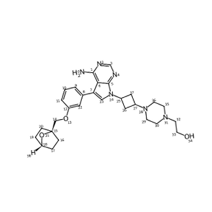 Nc1ncnc2c1c(-c1cccc(OC[C@]34CC[C@H](CC3)O4)c1)cn2C1CC(N2CCN(CCO)CC2)C1